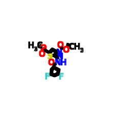 CCOC(=O)n1nc(NC(=O)c2cc(F)cc(F)c2)c2sc(C(=O)OC)cc21